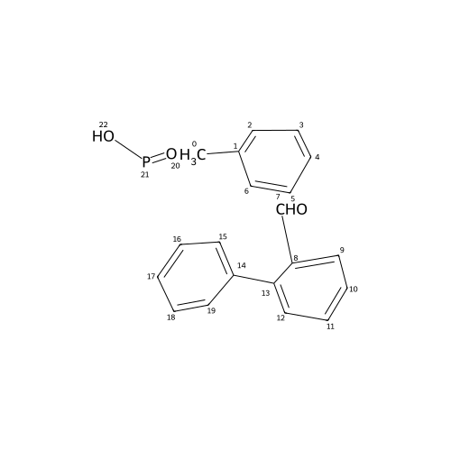 Cc1ccccc1.O=Cc1ccccc1-c1ccccc1.O=PO